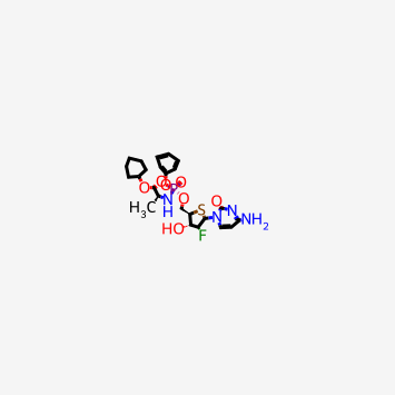 C[C@H](NP(=O)(OC[C@H]1SC(n2ccc(N)nc2=O)[C@@H](F)[C@@H]1O)Oc1ccccc1)C(=O)OC1CCCCC1